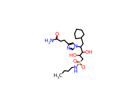 CCCCNS(=O)(=O)CC(O)C(O)C(CC1CCCCC1)n1cnc(CCC(N)=O)c1